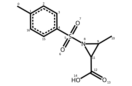 Cc1ccc(S(=O)(=O)N2C(C)C2C(=O)O)cc1